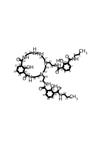 CCCNC(=O)c1cccc(C(=O)NCCN2CCNNCCNC(=O)c3cccc(c3O)C(=O)NCCN(CCNC(=O)c3cccc(C(=O)NCCC)c3O)CC2)c1O